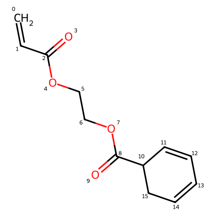 C=CC(=O)OCCOC(=O)C1C=CC=CC1